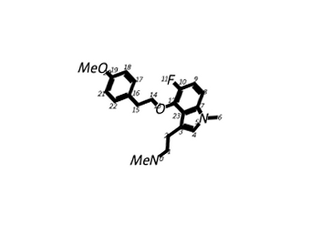 CNCCc1cn(C)c2ccc(F)c(OCCc3ccc(OC)cc3)c12